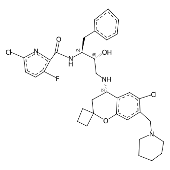 O=C(N[C@@H](Cc1ccccc1)[C@H](O)CN[C@H]1CC2(CCC2)Oc2cc(CN3CCCCC3)c(Cl)cc21)c1nc(Cl)ccc1F